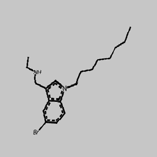 CCCCCCCCn1cc(CNCC)c2cc(Br)ccc21